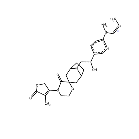 CC1=C(N2CCOC3(CC4CCC(C3)N4CC(O)c3cnc(N(N)/C=N\N)cn3)C2=O)COC1=O